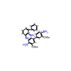 COc1cc(-c2ccc(N)c(OC)c2)ccc1N.Nc1cccc(-c2ccccc2)c1N